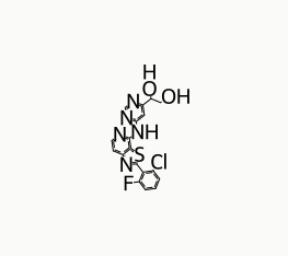 OCC(O)c1cc(Nc2nccc3nc(-c4c(F)cccc4Cl)sc23)ncn1